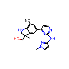 Cn1ccc(Nc2nccc(-c3cc(C#N)c4c(c3)C(C)(CO)CN4)n2)n1